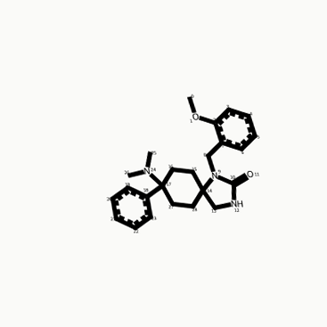 COc1ccccc1CN1C(=O)NCC12CCC(c1ccccc1)(N(C)C)CC2